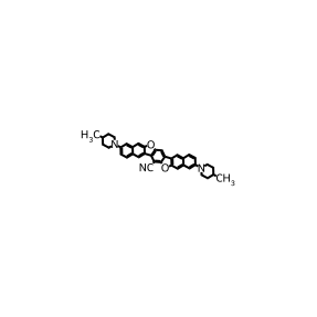 CC1CCN(c2ccc3cc4c(cc3c2)oc2c(C#N)c3c(cc24)oc2cc4cc(N5CCC(C)CC5)ccc4cc23)CC1